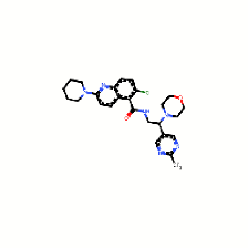 O=C(NCC(c1cnc(C(F)(F)F)nc1)N1CCOCC1)c1c(Cl)ccc2nc(N3CCCCC3)ccc12